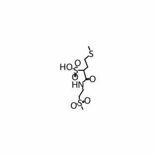 CSCCC(C(=O)NCCS(C)(=O)=O)S(=O)(=O)O